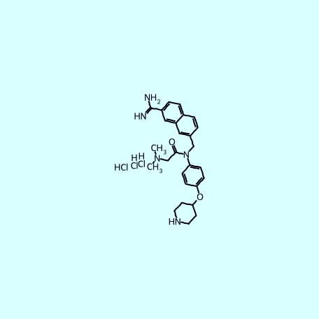 CN(C)CC(=O)N(Cc1ccc2ccc(C(=N)N)cc2c1)c1ccc(OC2CCNCC2)cc1.Cl.Cl.Cl